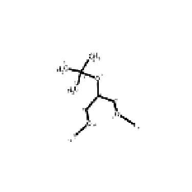 CC(C)(C)OC(COI)COI